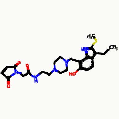 CCc1c(SC)[nH]c2c(CN3CCN(CCNC(=O)CN4C(=O)C=CC4=O)CC3)c(O)ccc12